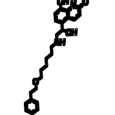 O=c1ccc2c(C(O)CNCCCCCCOCCc3ccccc3)ccc(O)c2[nH]1